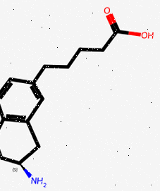 N[C@H]1CCc2ccc(CCCCC(=O)O)cc2C1